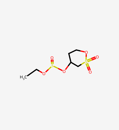 CCOS(=O)OC1CCOS(=O)(=O)C1